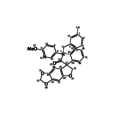 [CH]c1cccc(C[N+]2(c3ccc(OC)nc3)C(=O)C3(COc4cc5c(cc43)OCO5)c3ccccc32)c1